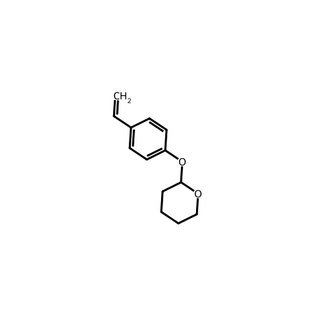 C=Cc1ccc(OC2CCCCO2)cc1